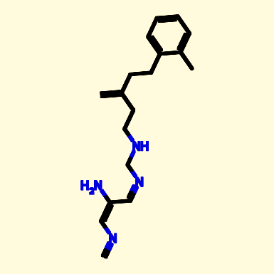 C=N/C=C(N)\C=N/CNCCC(=C)CCc1ccccc1C